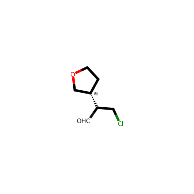 O=CC(CCl)[C@H]1CCOC1